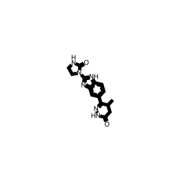 CC1CC(=O)NN=C1c1ccc2[nH]c(N3CCNC3=O)nc2c1